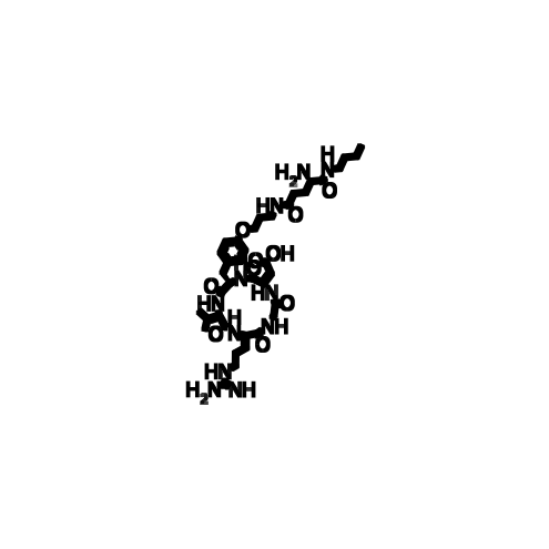 CCCCNC(=O)[C@@H](N)CCC(=O)NCCCOc1ccc(C[C@H]2NC(=O)/C(=C\C(=O)O)NC(=O)CNC(=O)/C(=C/CCNC(=N)N)NC(=O)C(=C(C)C)NC2=O)cc1